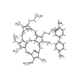 C=CC1=C(C)C2=NC/1=C\c1c(C)c(C=C)c3[n]1[Fe][n]1/c(c(C)c(CCC(=O)O)/c1=C/C1=NC(=C\3)/C(C)=C1CCC(=O)O)=C\2.Nc1ccc(-c2ccc(N)cc2)cc1